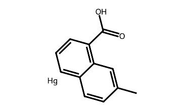 Cc1ccc2cccc(C(=O)O)c2c1.[Hg]